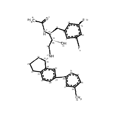 CC(=O)N[C@@H](Cc1cc(F)cc(F)c1)[C@H](O)CN[C@H]1CCCc2ccc(-c3cc(C)ccn3)cc21